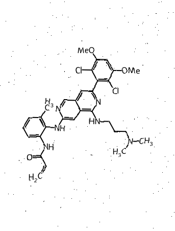 C=CC(=O)Nc1cccc(C)c1Nc1cc2c(NCCCN(C)C)nc(-c3c(Cl)c(OC)cc(OC)c3Cl)cc2cn1